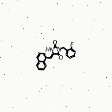 O=C1NC(=Cc2cccc3ccccc23)C(=O)N1Cc1ccccc1F